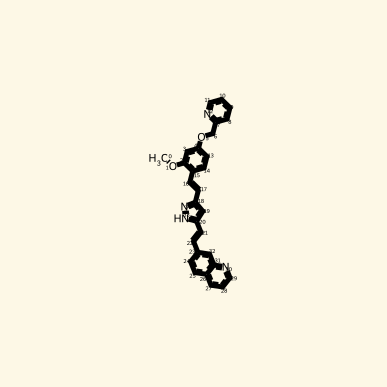 COc1cc(OCc2ccccn2)ccc1/C=C/c1cc(C=Cc2ccc3cccnc3c2)[nH]n1